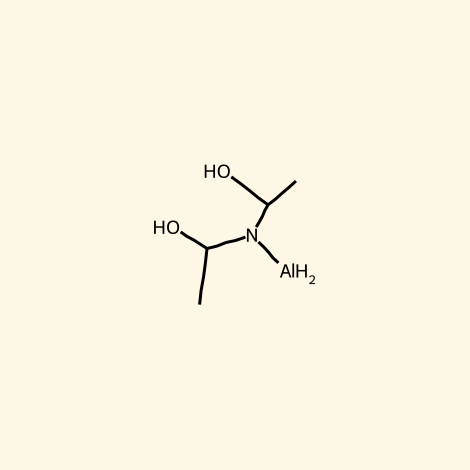 CC(O)[N]([AlH2])C(C)O